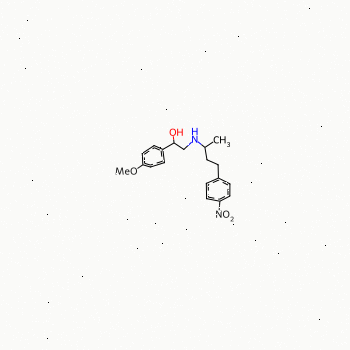 COc1ccc(C(O)CNC(C)CCc2ccc([N+](=O)[O-])cc2)cc1